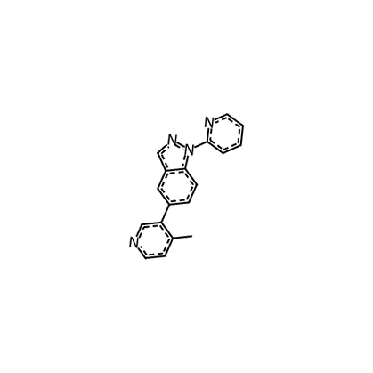 Cc1ccncc1-c1ccc2c(cnn2-c2ccccn2)c1